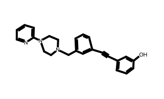 Oc1cccc(C#Cc2cccc(CN3CCN(c4ccccn4)CC3)c2)c1